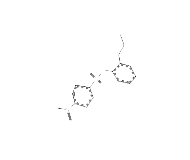 CCCc1ccccc1OS(=O)(=O)c1ccc([N+](=O)[O-])cc1